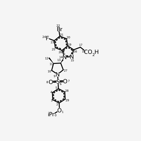 CC(C)Oc1ccc(S(=O)(=O)N2C[C@@H](C)[C@@H](n3nc(CC(=O)O)c4cc(Br)c(F)cc43)C2)cc1